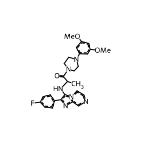 COc1cc(OC)cc(N2CCN(C(=O)C(C)Nc3c(-c4ccc(F)cc4)nc4cnccn34)CC2)c1